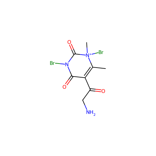 CC1=C(C(=O)CN)C(=O)N(Br)C(=O)[N+]1(C)Br